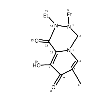 CCN1Cn2cc(C)c(=O)c(O)c2C(=O)N1CC